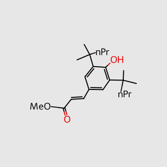 CCCC(C)(C)c1cc(/C=C/C(=O)OC)cc(C(C)(C)CCC)c1O